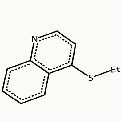 CCSc1ccnc2ccccc12